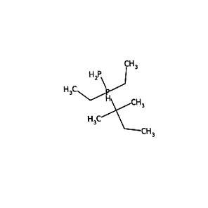 CCC(C)(C)[PH](P)(CC)CC